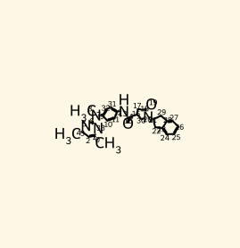 Cc1cc(C)nc(N(C)c2ccc(NC(=O)C3CC(=O)N(C4Cc5ccccc5C4)C3)cc2)n1